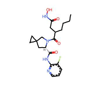 CCCCC(CC(=O)NO)C(=O)N1CC2(CC2)C[C@H]1C(=O)Nc1ncccc1F